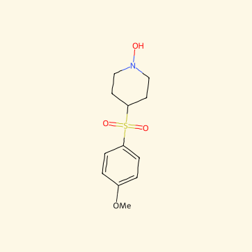 COc1ccc(S(=O)(=O)C2CCN(O)CC2)cc1